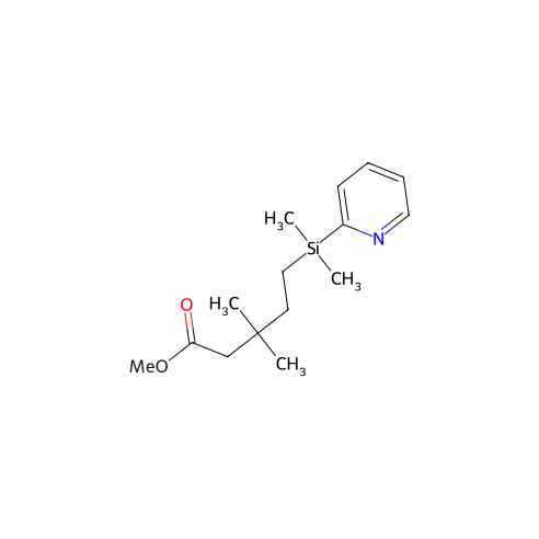 COC(=O)CC(C)(C)CC[Si](C)(C)c1ccccn1